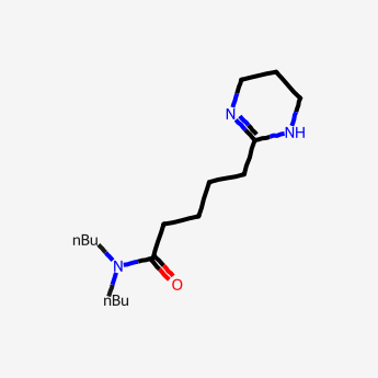 CCCCN(CCCC)C(=O)CCCCC1=NCCCN1